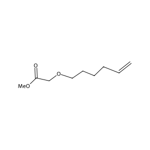 C=CCCCCOCC(=O)OC